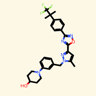 Cc1cc(-c2nc(-c3ccc(C(C)(C)C(F)(F)F)cc3)no2)nn1Cc1cccc(N2CCC(O)CC2)c1